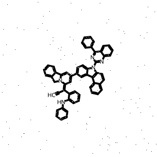 C#C/C(=C1/C=C(c2ccc3c(c2)c2c4ccccc4ccc2n3-c2nc(-c3ccccc3)c3ccccc3n2)C=C2c3ccccc3CN21)c1ccccc1Nc1ccccc1